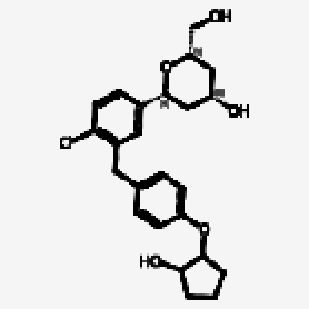 OC[C@@H]1C[C@H](O)C[C@H](c2ccc(Cl)c(Cc3ccc(OC4CCCC4O)cc3)c2)O1